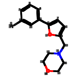 CC(C)c1cccc(-c2ccc(CN3CCOCC3)o2)c1